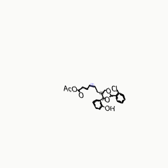 CC(=O)OC(=O)CC/C=C\C[C@H]1COC(c2ccccc2Cl)O[C@H]1c1ccccc1O